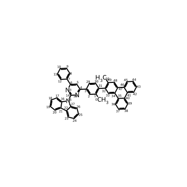 Cc1cc(-c2cc(-c3ccccc3)nc(-n3c4ccccc4c4ccccc43)n2)ccc1-c1cc2c3ccccc3c3ccccc3c2cc1C